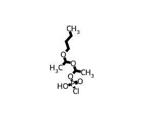 CCCCOC(C)OC(C)OP(=O)(O)Cl